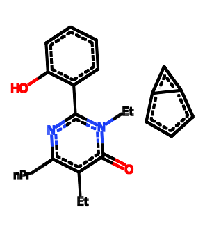 CCCc1nc(-c2ccccc2O)n(CC)c(=O)c1CC.c1cc2cc-2c1